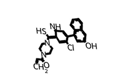 C=CC(=O)N1CCN(/C(S)=C2\C=C(Cl)C(c3cc(O)cc4ccccc34)=CC2=N)CC1